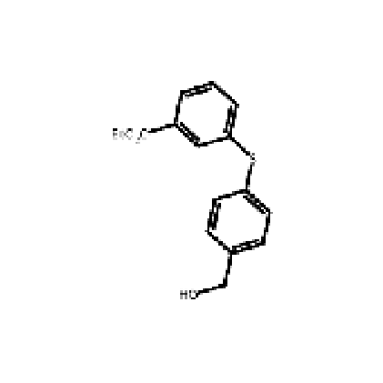 CCOC(=O)c1cccc(Sc2ccc(CO)cc2)c1